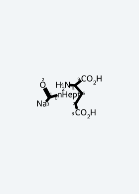 CCCCCCC[C](=O)[Na].NC(CCC(=O)O)C(=O)O